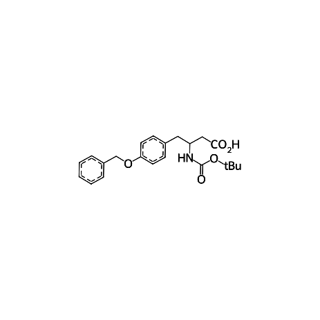 CC(C)(C)OC(=O)NC(CC(=O)O)Cc1ccc(OCc2ccccc2)cc1